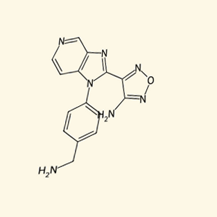 NCc1ccc(-n2c(-c3nonc3N)nc3cnccc32)cc1